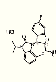 CNC[C@@H]1Oc2cc(F)ccc2[C@@H]1n1c(=O)n(C(C)C)c2cccc(F)c21.Cl